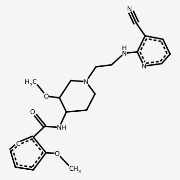 COc1ccccc1C(=O)NC1CCN(CCNc2ncccc2C#N)CC1OC